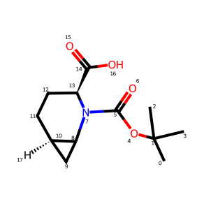 CC(C)(C)OC(=O)N1C2C[C@H]2CC[C@H]1C(=O)O